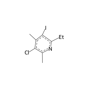 CCc1nc(C)c(Cl)c(C)c1I